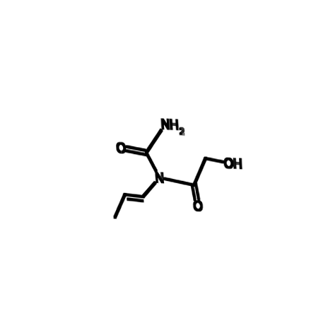 CC=CN(C(N)=O)C(=O)CO